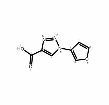 O=C(O)c1cn(-c2ccoc2)nn1